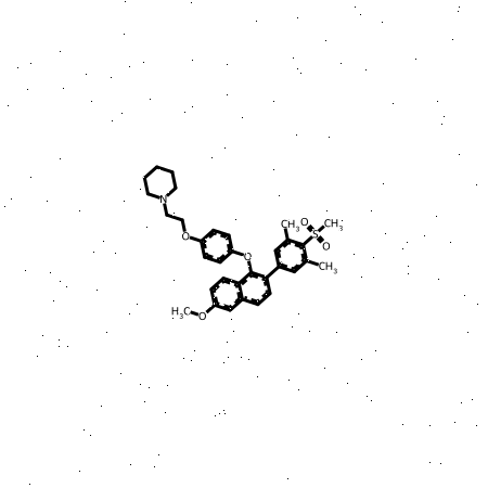 COc1ccc2c(Oc3ccc(OCCN4CCCCC4)cc3)c(-c3cc(C)c(S(C)(=O)=O)c(C)c3)ccc2c1